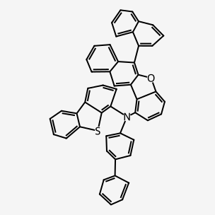 c1ccc(-c2ccc(N(c3cccc4c3sc3ccccc34)c3cccc4oc5c(-c6cccc7ccccc67)c6ccccc6cc5c34)cc2)cc1